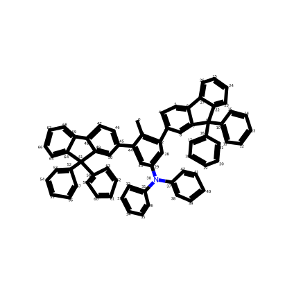 Cc1c(-c2ccc3c(c2)C(c2ccccc2)(c2ccccc2)c2ccccc2-3)cc(N(c2ccccc2)c2ccccc2)cc1-c1ccc2c(c1)C(c1ccccc1)(c1ccccc1)c1ccccc1-2